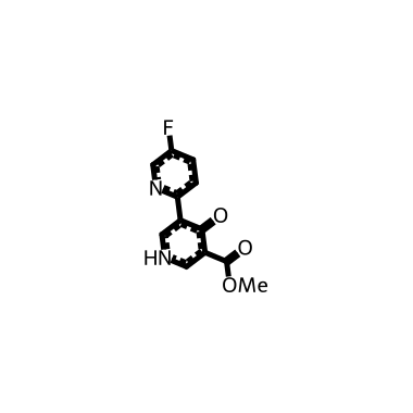 COC(=O)c1c[nH]cc(-c2ccc(F)cn2)c1=O